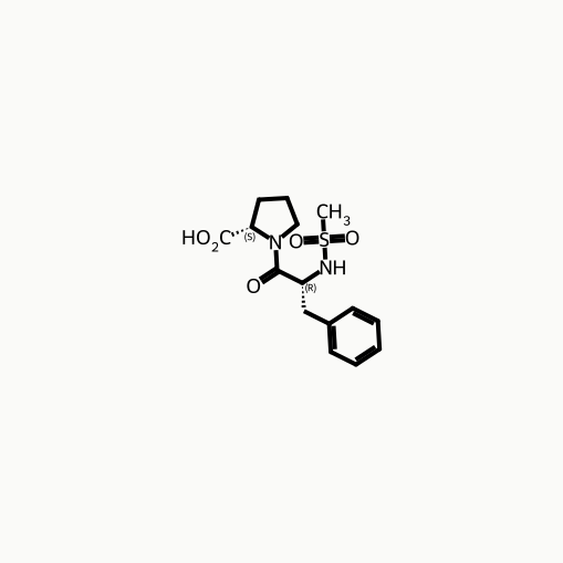 CS(=O)(=O)N[C@H](Cc1ccccc1)C(=O)N1CCC[C@H]1C(=O)O